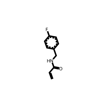 C=CC(=O)NCc1ccc(F)cc1